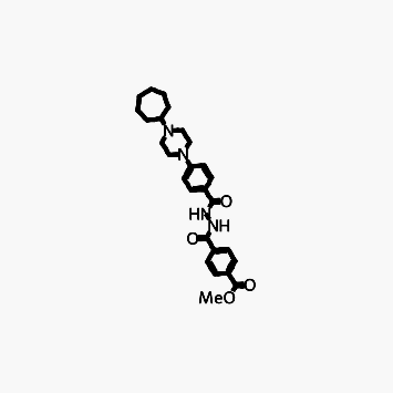 COC(=O)c1ccc(C(=O)NNC(=O)c2ccc(N3CCN(C4CCCCCC4)CC3)cc2)cc1